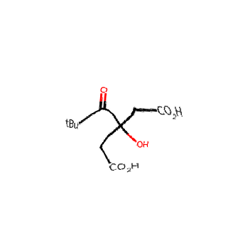 CC(C)(C)C(=O)C(O)(CC(=O)O)CC(=O)O